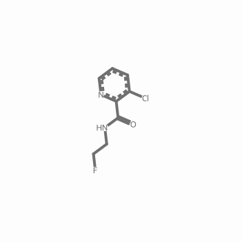 O=C(NCCF)c1ncccc1Cl